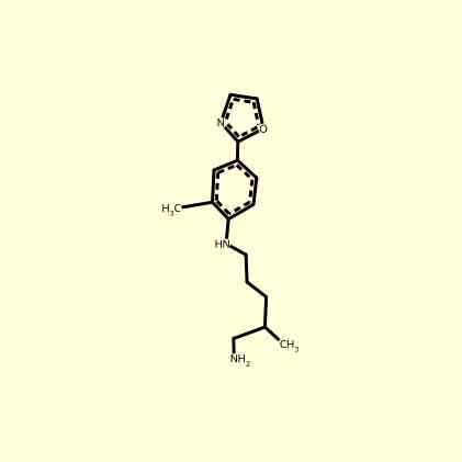 Cc1cc(-c2ncco2)ccc1NCCCC(C)CN